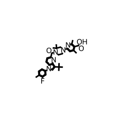 Cc1ccc(-n2cc(C(C)(C)C)c3nc(C(=O)N4CCN(c5cc(C)c(C(=O)O)c(C)n5)CC4(C)C)ccc32)cc1F